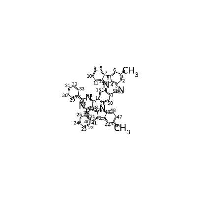 Cc1ccc2c(c1)c1ccccc1n2-c1cc(-c2cc(-c3ccccc3)nc(-c3ccccc3)n2)c(-n2c3ccccc3c3cc(C)ccc32)cc1C#N